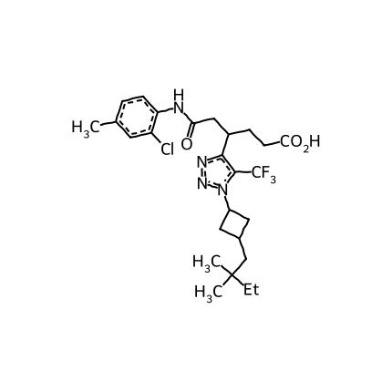 CCC(C)(C)CC1CC(n2nnc(C(CCC(=O)O)CC(=O)Nc3ccc(C)cc3Cl)c2C(F)(F)F)C1